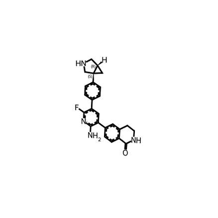 Nc1nc(F)c(-c2ccc([C@@]34CNC[C@@H]3C4)cc2)cc1-c1ccc2c(c1)CCNC2=O